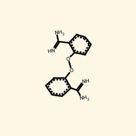 N=C(N)c1ccccc1OOc1ccccc1C(=N)N